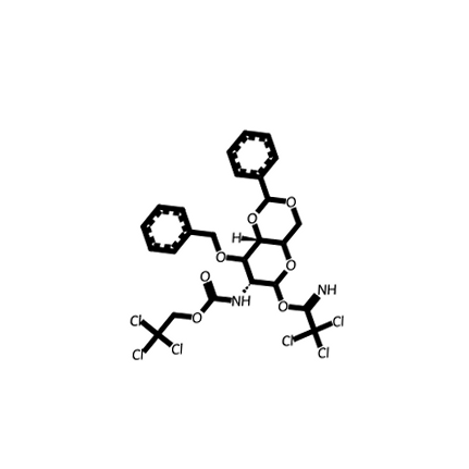 N=C(OC1OC2COC(c3ccccc3)O[C@H]2C(OCc2ccccc2)[C@H]1NC(=O)OCC(Cl)(Cl)Cl)C(Cl)(Cl)Cl